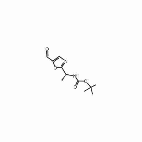 C[C@H](NC(=O)OC(C)(C)C)c1ncc(C=O)o1